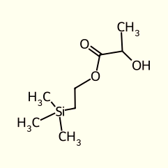 CC(O)C(=O)OCC[Si](C)(C)C